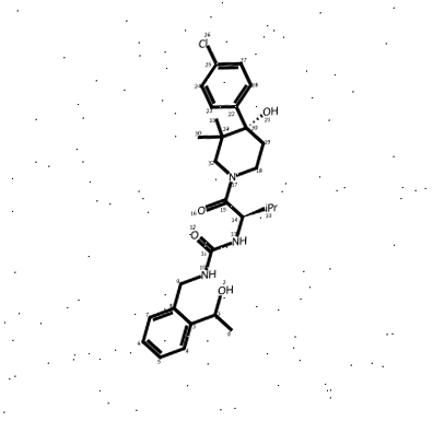 CC(O)c1ccccc1CNC(=O)N[C@@H](C(=O)N1CC[C@](O)(c2ccc(Cl)cc2)C(C)(C)C1)C(C)C